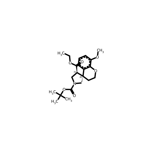 CCOC(=O)[C@@H]1CN(C(=O)OC(C)(C)C)C[C@]12CCOc1c(OC)cccc12